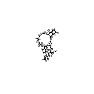 C=C[C@@H]1C[C@]1(NC(=O)C1CC2CN1C(=O)C(C1CCCC1)NC(=O)OC1(C)CC1CCC=CCn1c(nc3cc(C)ccc3c1=O)O2)C(=O)NS(=O)(=O)C1(C)CC1